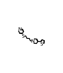 C1=C(c2cccs2)CCN(CCCCSc2ccncc2)C1